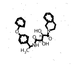 CC(NC(=O)[C@H](O)[C@@H](O)C(=O)N1CCc2ccccc2C1)c1ccc(Oc2ccccc2)cc1